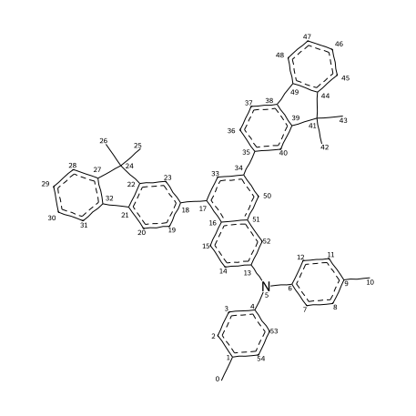 Cc1ccc(N(c2ccc(C)cc2)c2ccc3c(-c4ccc5c(c4)C(C)(C)c4ccccc4-5)cc(-c4ccc5c(c4)C(C)(C)c4ccccc4-5)cc3c2)cc1